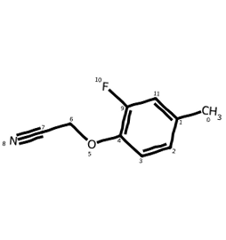 Cc1ccc(OCC#N)c(F)c1